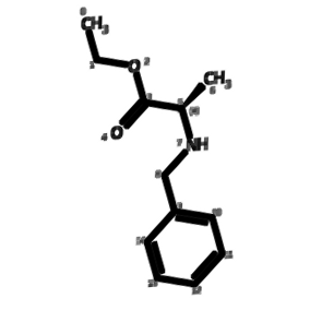 CCOC(=O)[C@@H](C)NCc1ccccc1